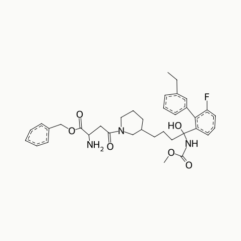 CCc1cccc(-c2c(F)cccc2C(O)(CCCC2CCCN(C(=O)CC(N)C(=O)OCc3ccccc3)C2)NC(=O)OC)c1